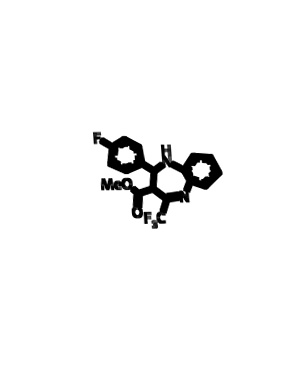 COC(=O)C1C(C(F)(F)F)=Nc2ccccc2NC1c1ccc(F)cc1